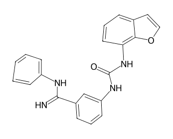 N=C(Nc1ccccc1)c1cccc(NC(=O)Nc2cccc3ccoc23)c1